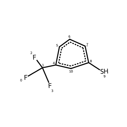 FC(F)(F)c1cc[c]c(S)c1